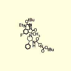 CCN(C(=O)OC(C)(C)C)c1cc(F)cc2c1NC(=O)C2(C)N1CC[C@H](c2ccccc2)[C@@H](NC(=O)C2CN(C(=O)OC(C)(C)C)C2)C1